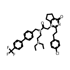 CCN(CC)CCN(Cc1ccc(-c2ccc(C(F)(F)F)cc2)cc1)C(=O)Cn1c(CCc2ccc(Cl)cc2)nc(=O)c2c1CCC2